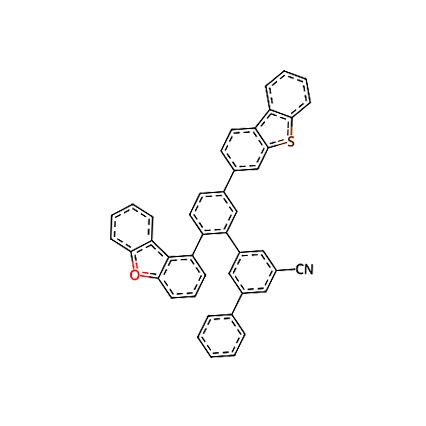 N#Cc1cc(-c2ccccc2)cc(-c2cc(-c3ccc4c(c3)sc3ccccc34)ccc2-c2cccc3oc4ccccc4c23)c1